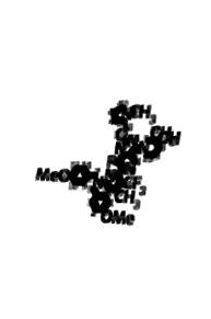 COc1ccc(CN(Cc2ccc(OC)cc2)c2cc(C)c(C(F)(F)F)c(-c3ncc4c(N5CCCC(C)(O)C5)nc(OC[C@@H]5CCCN5C)nc4c3F)n2)cc1